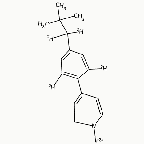 [2H]c1cc(C([2H])([2H])C(C)(C)C)cc([2H])c1C1=CC[N]([Ir+2])C=C1